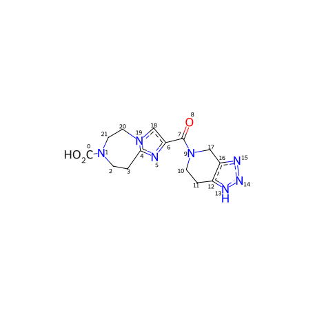 O=C(O)N1CCc2nc(C(=O)N3CCc4[nH]nnc4C3)cn2CC1